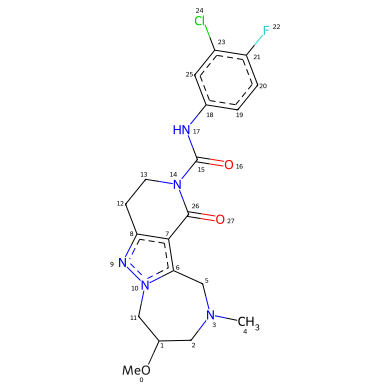 COC1CN(C)Cc2c3c(nn2C1)CCN(C(=O)Nc1ccc(F)c(Cl)c1)C3=O